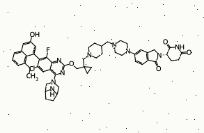 CCc1cccc2cc(O)cc(-c3c(Cl)cc4c(N5CC6CCC(C5)N6)nc(OCC5(CN6CCC(CN7CCN(c8ccc9c(c8)CN([C@H]8CCC(=O)NC8=O)C9=O)CC7)CC6)CC5)nc4c3F)c12